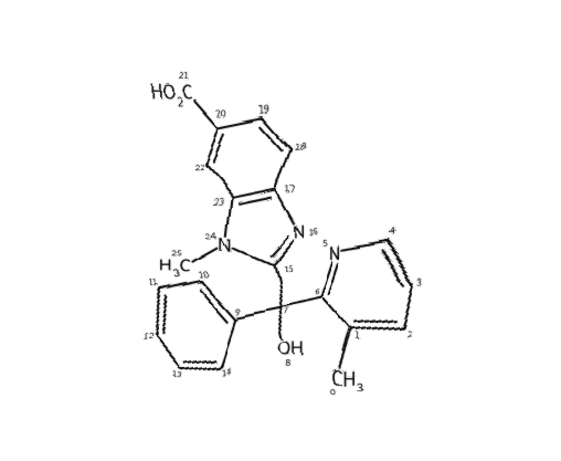 Cc1cccnc1C(O)(c1ccccc1)c1nc2ccc(C(=O)O)cc2n1C